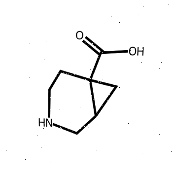 O=C(O)C12CCNCC1C2